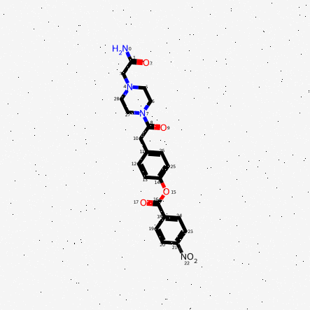 NC(=O)CN1CCN(C(=O)Cc2ccc(OC(=O)c3ccc([N+](=O)[O-])cc3)cc2)CC1